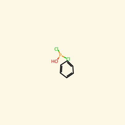 OP(Cl)Cl.c1ccccc1